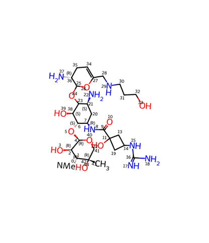 CN[C@@H]1[C@@H](O)[C@@H](O[C@H]2[C@H](NC(=O)C3(O)CC(NC(=N)N)C3)C[C@H](N)C(OC3OC(CNCCCO)=CC[C@H]3N)[C@@H]2O)OC[C@]1(C)O